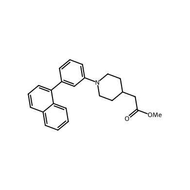 COC(=O)CC1CCN(c2cccc(-c3cccc4ccccc34)c2)CC1